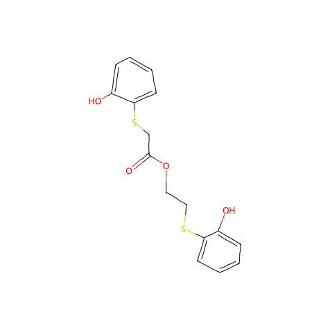 O=C(CSc1ccccc1O)OCCSc1ccccc1O